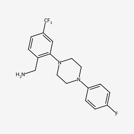 NCc1ccc(C(F)(F)F)cc1N1CCN(c2ccc(F)cc2)CC1